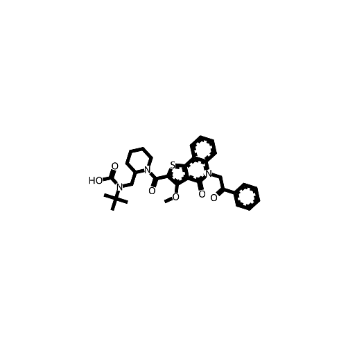 COc1c(C(=O)N2CCCCC2CN(C(=O)O)C(C)(C)C)sc2c1c(=O)n(CC(=O)c1ccccc1)c1ccccc21